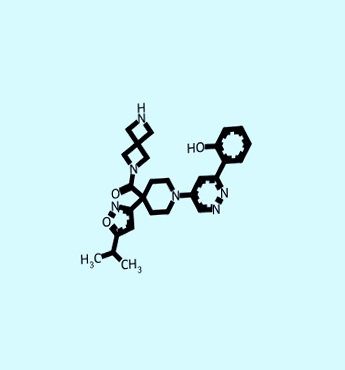 CC(C)c1cc(C2(C(=O)N3CC4(CNC4)C3)CCN(c3cnnc(-c4ccccc4O)c3)CC2)no1